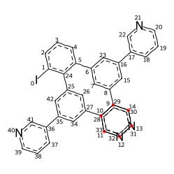 Ic1cccc(-c2cc(-c3cccnc3)cc(-c3cccnc3)c2)c1-c1cc(-c2cccnc2)cc(-c2cccnc2)c1